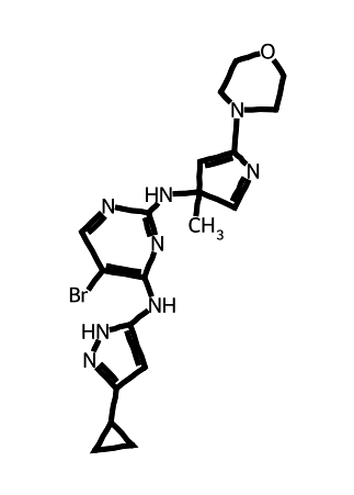 CC1(Nc2ncc(Br)c(Nc3cc(C4CC4)n[nH]3)n2)C=NC(N2CCOCC2)=C1